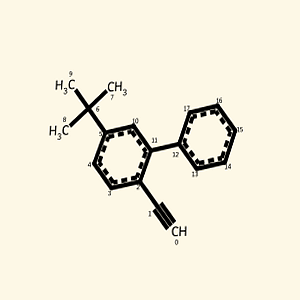 C#Cc1ccc(C(C)(C)C)cc1-c1ccccc1